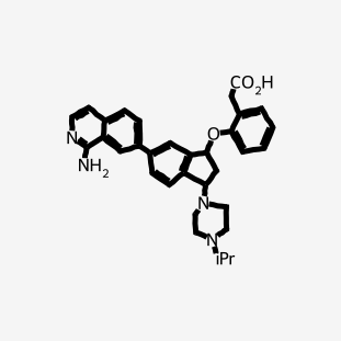 CC(C)N1CCN(C2CC(Oc3ccccc3CC(=O)O)c3cc(-c4ccc5ccnc(N)c5c4)ccc32)CC1